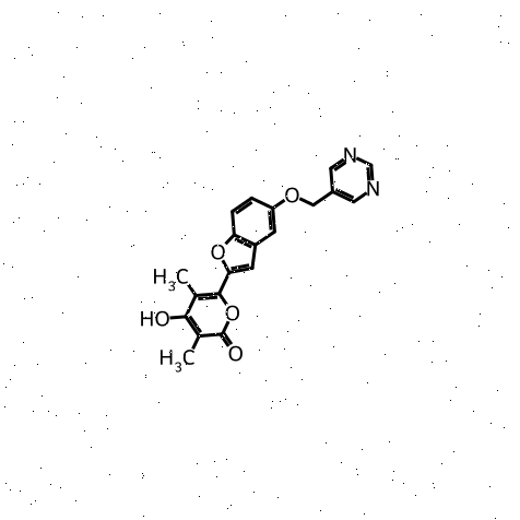 Cc1c(-c2cc3cc(OCc4cncnc4)ccc3o2)oc(=O)c(C)c1O